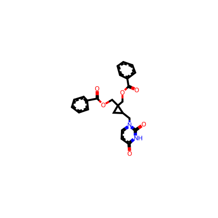 O=C(OCC1(COC(=O)c2ccccc2)CC1Cn1ccc(=O)[nH]c1=O)c1ccccc1